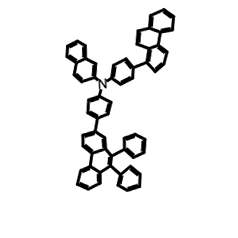 c1ccc(-c2c(-c3ccccc3)c3cc(-c4ccc(N(c5ccc(-c6cccc7c6ccc6ccccc67)cc5)c5ccc6ccccc6c5)cc4)ccc3c3ccccc23)cc1